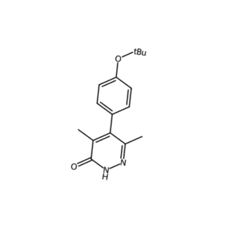 Cc1n[nH]c(=O)c(C)c1-c1ccc(OC(C)(C)C)cc1